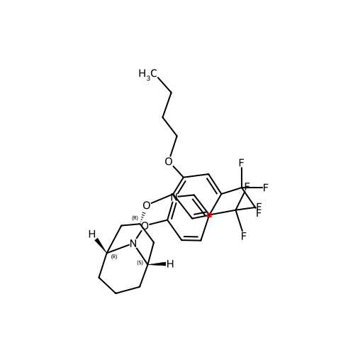 CCCCOc1cc(C(F)(F)F)ccc1O[C@H]1C[C@H]2CCC[C@@H](C1)N2Oc1ccc(C(F)(F)F)cn1